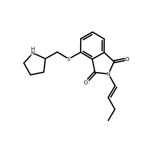 CCC=CN1C(=O)c2cccc(SCC3CCCN3)c2C1=O